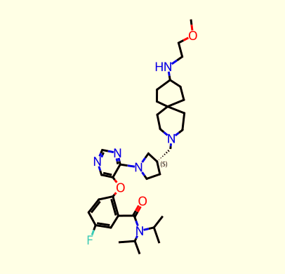 COCCNC1CCC2(CC1)CCN(C[C@@H]1CCN(c3ncncc3Oc3ccc(F)cc3C(=O)N(C(C)C)C(C)C)C1)CC2